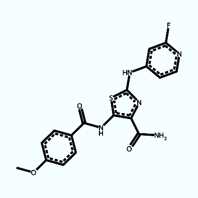 COc1ccc(C(=O)Nc2sc(Nc3ccnc(F)c3)nc2C(N)=O)cc1